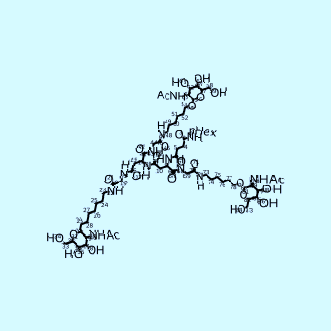 CCCCCCNC(=O)CCC(=O)NC(CC(=O)NC(CC(=O)NCC(=O)NCCCCCCCC1OC(CO)C(O)C(O)C1NC(C)=O)C(=O)NCC(=O)NCCCCCCOC1OC(CO)C(O)C(O)C1NC(C)=O)C(=O)NCC(=O)NCCCCCCOC1OC(CO)C(O)C(O)C1NC(C)=O